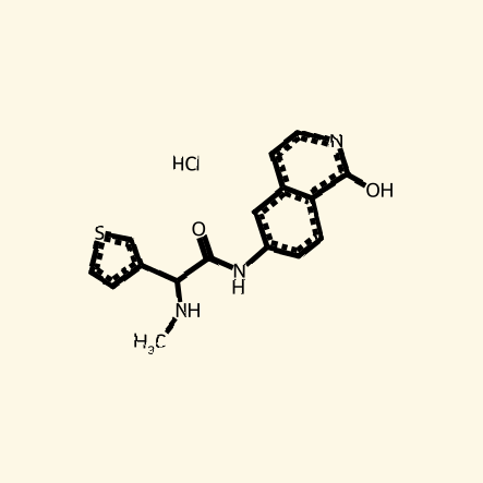 CNC(C(=O)Nc1ccc2c(O)nccc2c1)c1ccsc1.Cl